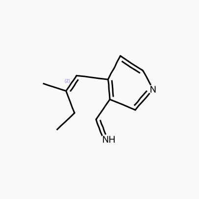 CC/C(C)=C\c1ccncc1C=N